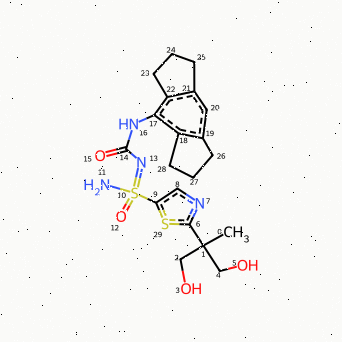 CC(CO)(CO)c1ncc(S(N)(=O)=NC(=O)Nc2c3c(cc4c2CCC4)CCC3)s1